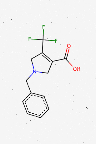 O=C(O)C1=C(C(F)(F)F)CN(Cc2ccccc2)C1